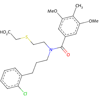 COc1cc(C(=O)N(CCCc2ccccc2Cl)CCSCC(=O)O)cc(OC)c1C